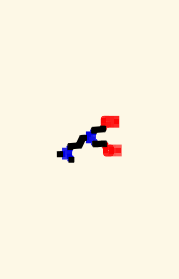 CN(C)CCCN(CCO)CCO